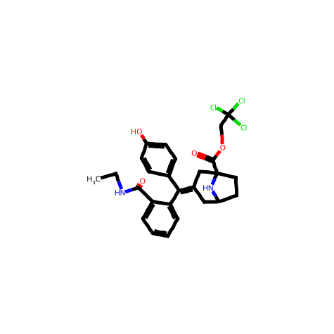 CCNC(=O)c1ccccc1C(=C1CC2CCC(C(=O)OCC(Cl)(Cl)Cl)(C1)N2)c1ccc(O)cc1